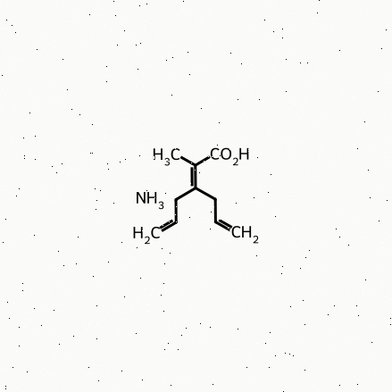 C=CCC(CC=C)=C(C)C(=O)O.N